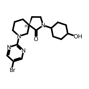 O=C1N(C2CCC(O)CC2)CC[C@@]12CCCN(c1ncc(Br)cn1)C2